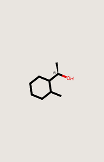 CC1CCCCC1[C@@H](C)O